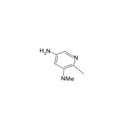 CNc1cc(N)cnc1C